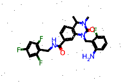 CC1c2ccc(C(=O)NCc3c(F)cc(F)cc3F)cc2N(Cc2c(N)cccc2F)C(=O)N1C